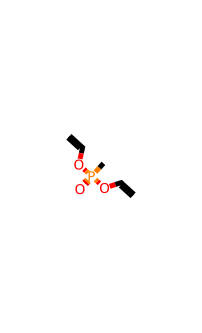 C=COP(C)(=O)OC=C